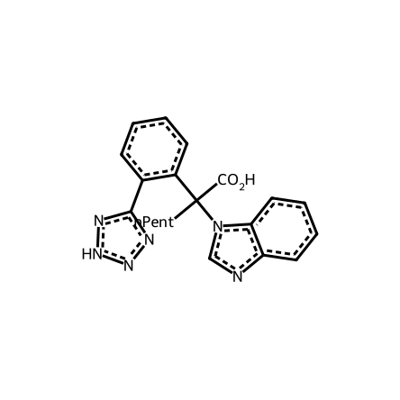 CCCCCC(C(=O)O)(c1ccccc1-c1nn[nH]n1)n1cnc2ccccc21